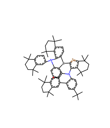 Cc1cc2c3c(c1)N(c1ccc(C(C)(C)C)cc1-c1cc4c(cc1C)C(C)(C)CCC4(C)C)c1c(sc4c1C(C)(C)CCC4(C)C)B3c1ccc3c(c1N2c1ccc2c(c1)C(C)(C)CCC2(C)C)C(C)(C)CCC3(C)C